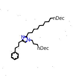 CCCCCCCCCCCCCCCCCCCc1nc(CCCc2ccccc2)cn1CCCCCCCCCCCCC